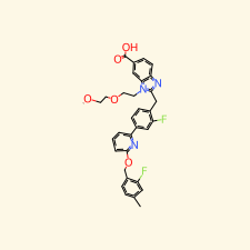 COCCOCCn1c(Cc2ccc(-c3cccc(OCc4ccc(C)cc4F)n3)cc2F)nc2ccc(C(=O)O)cc21